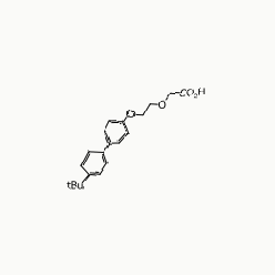 CC(C)(C)c1ccc(-c2ccc(OCCOCC(=O)O)cc2)cc1